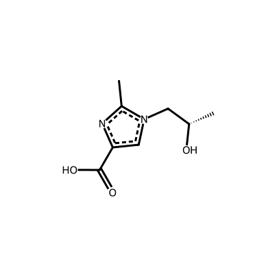 Cc1nc(C(=O)O)cn1C[C@H](C)O